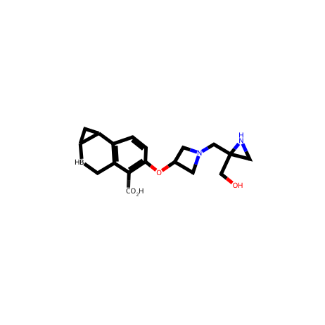 O=C(O)c1c(OC2CN(CC3(CO)CN3)C2)ccc2c1CBC1CC21